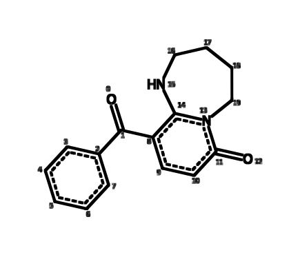 O=C(c1ccccc1)c1ccc(=O)n2c1NCCCC2